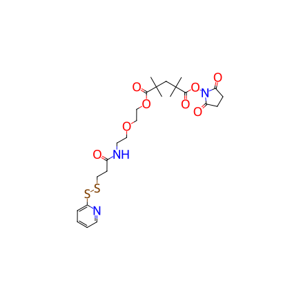 CC(C)(CC(C)(C)C(=O)ON1C(=O)CCC1=O)C(=O)OCCOCCNC(=O)CCSSc1ccccn1